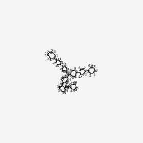 c1ccc(-c2ccc(-c3ccc(N(c4ccc(-c5ccc(-c6ccccc6)cc5)cc4)c4ccc5c6ccccc6n(-c6ccccc6)c5c4)cc3)cc2)cc1